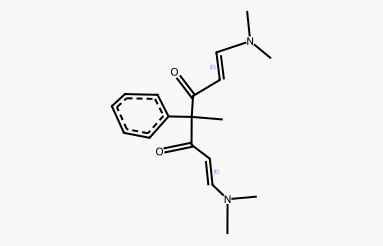 CN(C)/C=C/C(=O)C(C)(C(=O)/C=C/N(C)C)c1ccccc1